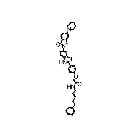 O=C(COc1ccc(-c2nc3cc(N4Cc5cc(N6CCCCC6)ccc5C4=O)ccc3[nH]2)cc1)NC/C=C/CCc1ccccc1